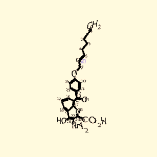 C=CCCC/C=C/COc1ccc(C(=O)c2cccc3c(O)c(N)c(C(=O)O)nc23)cc1